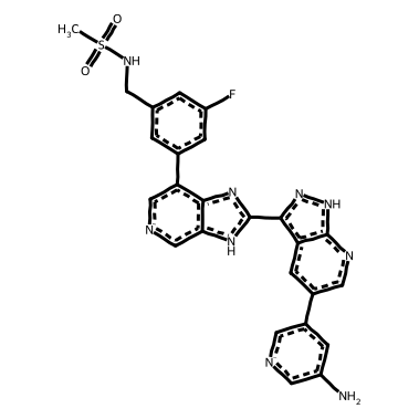 CS(=O)(=O)NCc1cc(F)cc(-c2cncc3[nH]c(-c4n[nH]c5ncc(-c6cncc(N)c6)cc45)nc23)c1